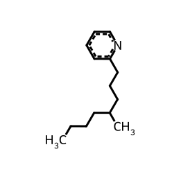 CCCCC(C)CCCc1ccccn1